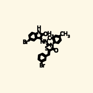 Cc1ccc(N2C(=O)C(=Cc3cccc(Br)c3)SC2=NN=C2C(=O)Nc3ccc(Br)cc32)c(C)c1